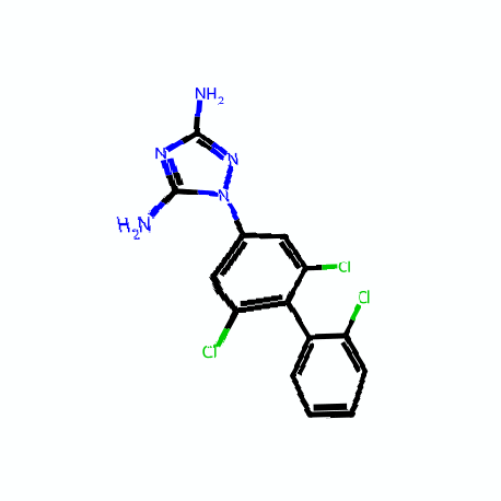 Nc1nc(N)n(-c2cc(Cl)c(-c3ccccc3Cl)c(Cl)c2)n1